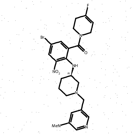 CNc1cncc(CN2CCC[C@@H](Nc3c(C(=O)N4CC=C(F)CC4)cc(Br)cc3[N+](=O)[O-])C2)c1